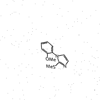 COc1ccccc1-n1ccnc1SC